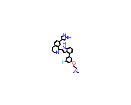 CN(C)CCOc1cc(F)cc(-c2cccc3[nH]c(C4=NCCCc5ccc(-c6cn[nH]c6)cc54)cc23)c1